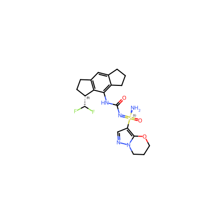 N[S@](=O)(=NC(=O)Nc1c2c(cc3c1[C@H](C(F)F)CC3)CCC2)c1cnn2c1OCCC2